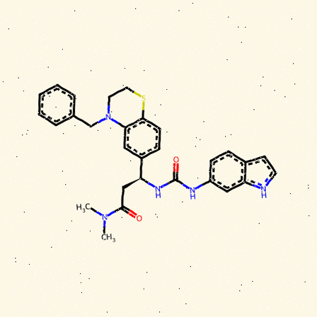 CN(C)C(=O)C[C@H](NC(=O)Nc1ccc2cc[nH]c2c1)c1ccc2c(c1)N(Cc1ccccc1)CCS2